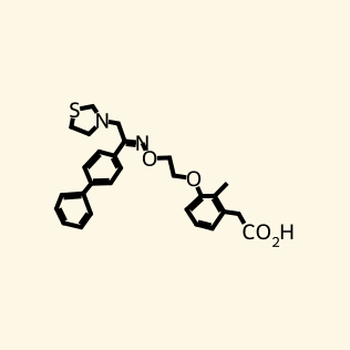 Cc1c(CC(=O)O)cccc1OCCON=C(CN1CCSC1)c1ccc(-c2ccccc2)cc1